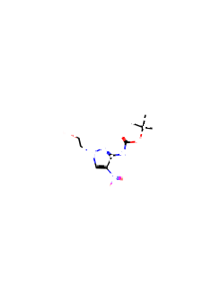 CC(C)(C)OC(=O)Nc1nn(CCO)cc1[N+](=O)[O-]